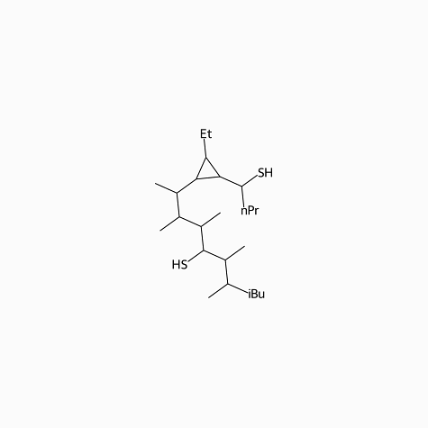 CCCC(S)C1C(CC)C1C(C)C(C)C(C)C(S)C(C)C(C)C(C)CC